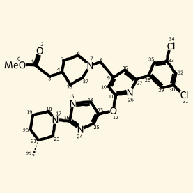 COC(=O)CC1CCN(Cc2cc(Oc3cnc(N4CCC[C@@H](C)C4)nc3)nc(-c3cc(Cl)cc(Cl)c3)c2)CC1